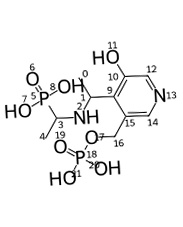 CC(NC(C)P(=O)(O)O)c1c(O)cncc1COP(=O)(O)O